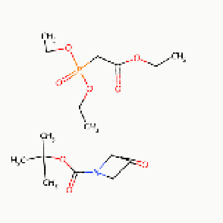 CC(C)(C)OC(=O)N1CC(=O)C1.CCOC(=O)CP(=O)(OCC)OCC